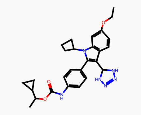 CCOc1ccc2c(C3NN=NN3)c(-c3ccc(NC(=O)OC(C)C4CC4)cc3)n(C3CCC3)c2c1